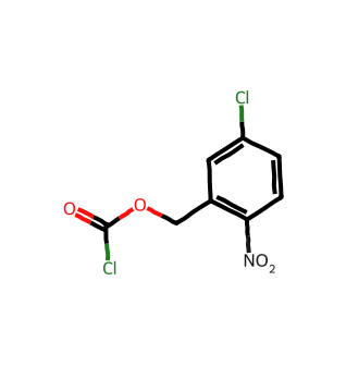 O=C(Cl)OCc1cc(Cl)ccc1[N+](=O)[O-]